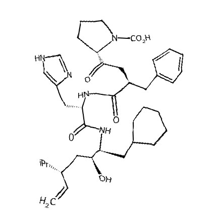 C=C[C@@H](C[C@H](O)[C@H](CC1CCCCC1)NC(=O)[C@H](Cc1c[nH]cn1)NC(=O)[C@@H](CC(=O)[C@@H]1CCCN1C(=O)O)Cc1ccccc1)C(C)C